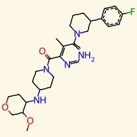 C=C(/C(C)=C(\N=C/N)C(=O)N1CCC(NC2CCOCC2OC)CC1)N1CCCC(c2ccc(F)cc2)C1